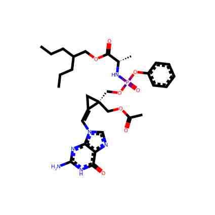 CCCC(CCC)COC(=O)[C@H](C)NP(=O)(OC[C@@]1(COC(C)=O)C/C1=C/n1cnc2c(=O)[nH]c(N)nc21)Oc1ccccc1